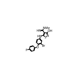 CNC(=N)c1c(O)nsc1Nc1ccc(Oc2ccc(F)cc2)c(Br)c1